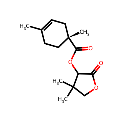 CC1=CC[C@](C)(C(=O)OC2C(=O)OCC2(C)C)CC1